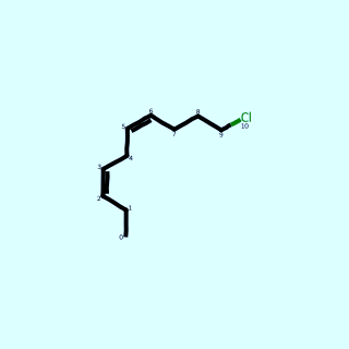 CC/C=C\C/C=C\CCCCl